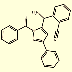 N#Cc1ccccc1C(N)c1cc(-c2cccnc2)nn1C(=O)c1ccccc1